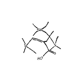 CC(C(=C[Si](C)(C)C)C(=O)O)([Si](C)(C)C)[Si](C)(C)C